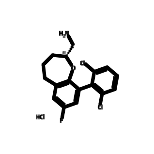 Cl.NC[C@H]1CCCc2cc(F)cc(-c3c(Cl)cccc3Cl)c2O1